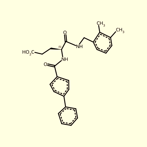 Cc1cccc(CNC(=O)[C@H](CCC(=O)O)NC(=O)c2ccc(-c3ccccc3)cc2)c1C